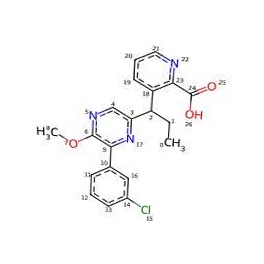 CCC(c1cnc(OC)c(-c2cccc(Cl)c2)n1)c1cccnc1C(=O)O